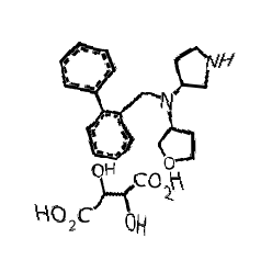 O=C(O)C(O)C(O)C(=O)O.c1ccc(-c2ccccc2CN([C@H]2CCNC2)[C@H]2CCOC2)cc1